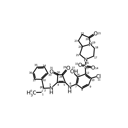 CC[C@@H](Nc1c(Nc2ccc(Cl)c(S(=O)(=O)N3CCN4C(=O)CCC4C3)c2O)c(=O)c1=O)c1ccccc1